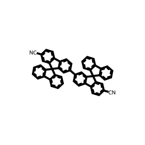 N#Cc1ccc2c(c1)C1(c3ccccc3-c3ccccc31)c1cc(-c3ccc4c(c3)C3(c5ccccc5-c5ccccc53)c3cc(C#N)ccc3-4)ccc1-2